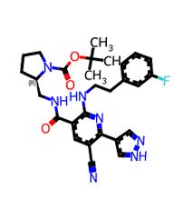 CC(C)(C)OC(=O)N1CCC[C@@H]1CNC(=O)c1cc(C#N)c(-c2cn[nH]c2)nc1NCCc1cccc(F)c1